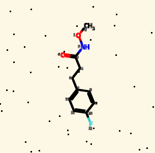 CONC(=O)CCc1ccc(F)cc1